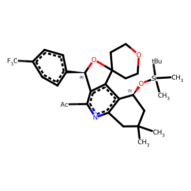 CC(=O)c1nc2c(c3c1[C@@H](c1ccc(C(F)(F)F)cc1)OC31CCOCC1)[C@@H](O[Si](C)(C)C(C)(C)C)CC(C)(C)C2